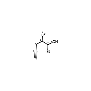 [C]#CCC(CCC)C(O)CC